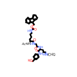 CC(=O)NC(CCCCNC(=O)OCC1c2ccccc2-c2ccccc21)C(=O)NCC(=O)NC(CCCNC=O)C(=O)Nc1ccc(CO)cc1